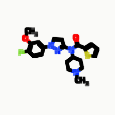 COc1cc(-n2ccc(N(C(=O)c3cccs3)C3CCN(C)CC3)n2)ccc1F